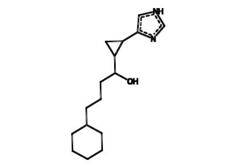 OC(CCCC1CCCCC1)C1CC1c1c[nH]cn1